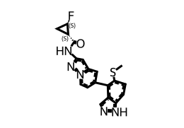 CSc1ccc2[nH]ncc2c1-c1ccn2nc(NC(=O)[C@@H]3C[C@@H]3F)cc2c1